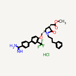 COC(=O)C[C@@H]1C[C@@H](COc2ccc(-c3ccc(C(=N)N)cc3)cc2C(F)(F)F)N(CCCc2ccccc2)C1=O.Cl